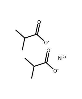 CC(C)C(=O)[O-].CC(C)C(=O)[O-].[Ni+2]